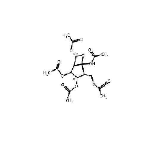 CC(=O)NC12O[C@@H](OC(C)=O)C1C(OC(C)=O)[C@H](OC(C)=O)C2COC(C)=O